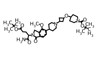 COc1c(C2CCN(C3CC(OC4CCN(C(=O)OC(C)(C)C)CC4)C3)CC2)ccc2c1CN(C(CCC(=O)OC(C)(C)C)C(N)=O)C2=O